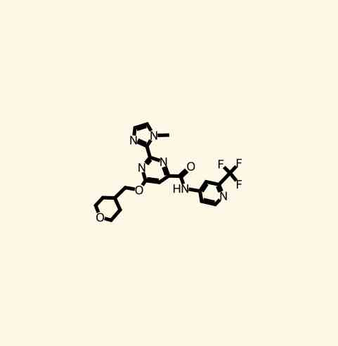 Cn1ccnc1-c1nc(OCC2CCOCC2)cc(C(=O)Nc2ccnc(C(F)(F)F)c2)n1